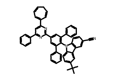 CC(C)(C)c1ccc2c(c1)c1cc(C#N)ccc1n2-c1c(-c2ccccc2)cc(-c2nc(C3=CC=CCC=C3)cc(-c3ccccc3)n2)cc1-c1ccccc1